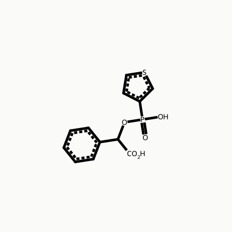 O=C(O)C(OP(=O)(O)c1ccsc1)c1ccccc1